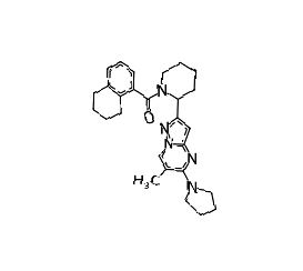 Cc1cn2nc(C3CCCCN3C(=O)c3cccc4c3CCCC4)cc2nc1N1CCCC1